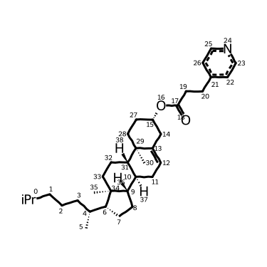 CC(C)CCC[C@@H](C)[C@H]1CC[C@H]2[C@@H]3CC=C4C[C@@H](OC(=O)CCc5ccncc5)CC[C@]4(C)[C@H]3CC[C@]12C